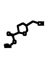 CC(C)(C)OC(=O)C1CCC(CC#N)CO1